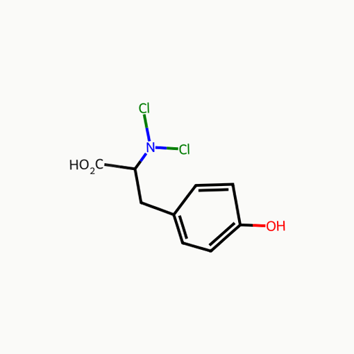 O=C(O)C(Cc1ccc(O)cc1)N(Cl)Cl